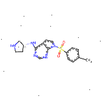 Cc1ccc(S(=O)(=O)n2ccc3c(N[C@@H]4CCNC4)ncnc32)cc1